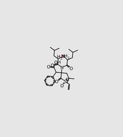 C=CS(=O)(=O)C(=O)C(CC(C)C)(C(C(=O)O)c1ccccc1)N(C(=O)C(N)CC(C)C)C(=O)C(N)CC(C)C